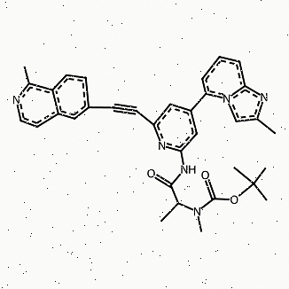 Cc1cn2c(-c3cc(C#Cc4ccc5c(C)nccc5c4)nc(NC(=O)C(C)N(C)C(=O)OC(C)(C)C)c3)cccc2n1